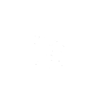 Cl.Cl.NC1Cc2ncccc2N(Cc2ccc(C(F)(F)F)cc2)C1=O